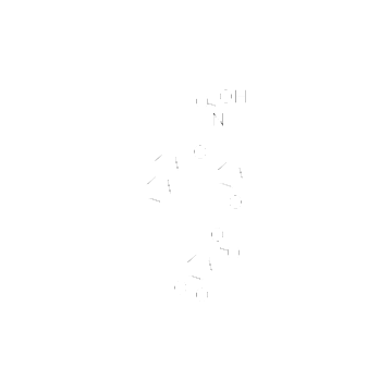 O=C(OCCOc1ccc(C2CCN(C(=O)O)CC2OCc2ccc3ccccc3c2)cc1)c1ccc2c(c1)OCO2